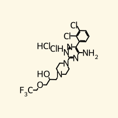 Cl.Cl.Nc1nc(N2CCN(C[C@H](O)COCC(F)(F)F)CC2)nnc1-c1cccc(Cl)c1Cl